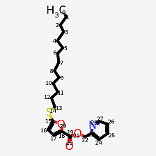 CCCCCCCCCCCCCCSc1ccc(C(=O)OCc2ccccn2)o1